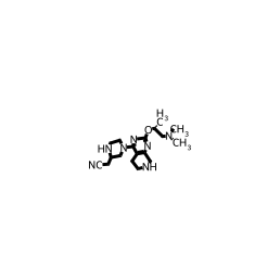 C[C@H](CN(C)C)Oc1nc2c(c(N3CCNC(CC#N)C3)n1)CCNC2